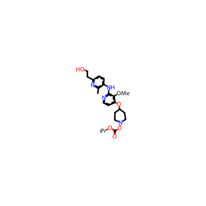 COc1c(OC2CCN(OC(=O)OC(C)C)CC2)ccnc1Nc1ccc(CCO)nc1C